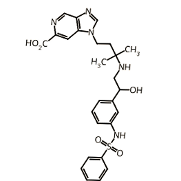 CC(C)(CCn1cnc2cnc(C(=O)O)cc21)NCC(O)c1cccc(NS(=O)(=O)c2ccccc2)c1